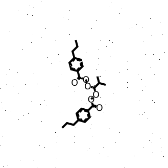 [CH2]C(C)[C](OOC(=O)c1ccc(CCC)cc1)OOC(=O)c1ccc(CCC)cc1